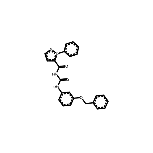 O=C(NC(=S)Nc1cccc(OCc2ccccc2)c1)c1ccnn1-c1ccccc1